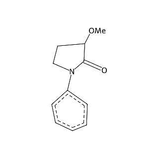 COC1CCN(c2ccccc2)C1=O